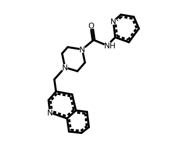 O=C(Nc1ccccn1)N1CCN(Cc2cnc3ccccc3c2)CC1